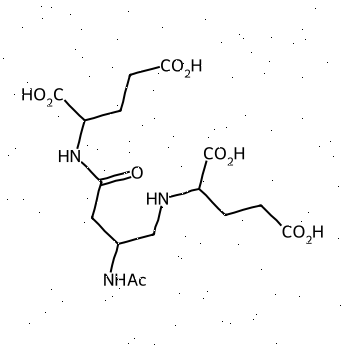 CC(=O)NC(CNC(CCC(=O)O)C(=O)O)CC(=O)NC(CCC(=O)O)C(=O)O